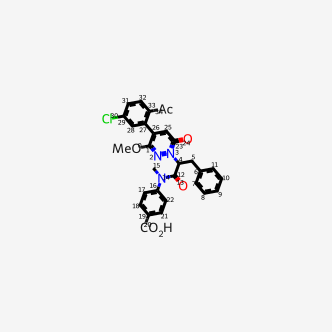 COc1nn(C(Cc2ccccc2)C(=O)N(C)c2ccc(C(=O)O)cc2)c(=O)cc1-c1cc(Cl)ccc1C(C)=O